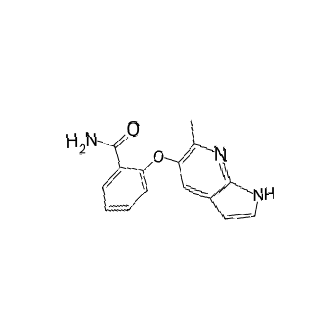 Cc1nc2[nH]ccc2cc1Oc1ccccc1C(N)=O